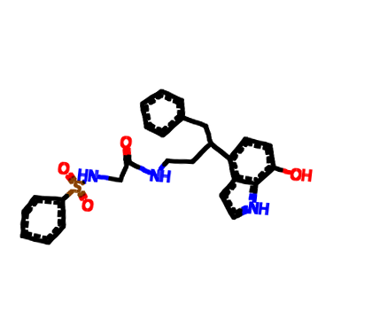 O=C(CNS(=O)(=O)c1ccccc1)NCCC(Cc1ccccc1)c1ccc(O)c2[nH]ccc12